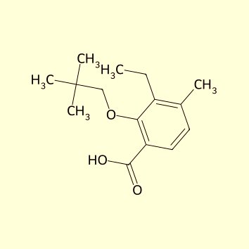 CCc1c(C)ccc(C(=O)O)c1OCC(C)(C)C